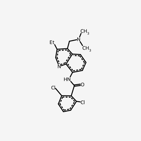 CCc1cnc2c(NC(=O)c3c(Cl)cccc3Cl)cccc2c1CN(C)C